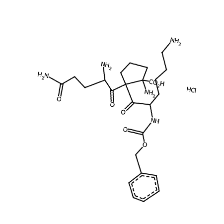 Cl.NCCCCC(NC(=O)OCc1ccccc1)C(=O)C1(C(=O)C(N)CCC(N)=O)CCCC1(N)C(=O)O